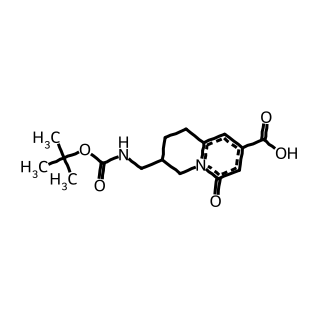 CC(C)(C)OC(=O)NCC1CCc2cc(C(=O)O)cc(=O)n2C1